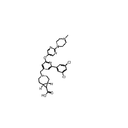 CN1CCN(c2ncc(Oc3cc(CN4CC[C@@H]5C(C(=O)O)[C@@H]5CC4)cc(-c4cc(Cl)cc(Cl)c4)n3)cn2)CC1